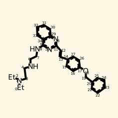 CCN(CC)CCNCCNc1nc(C=Cc2ccc(OCc3ccccc3)cc2)nc2ccccc12